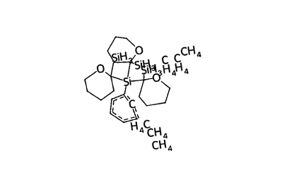 C.C.C.C.C.C.[SiH3]C1([Si](c2ccccc2)(C2([SiH3])CCCCO2)C2([SiH3])CCCCO2)CCCCO1